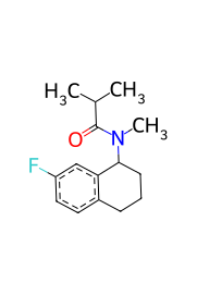 CC(C)C(=O)N(C)C1CCCc2ccc(F)cc21